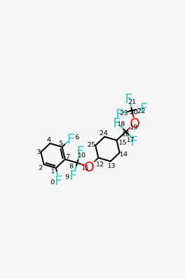 FC1=CCCC(F)=C1C(F)(F)OC1CCC(C(F)(F)OC(F)(F)F)CC1